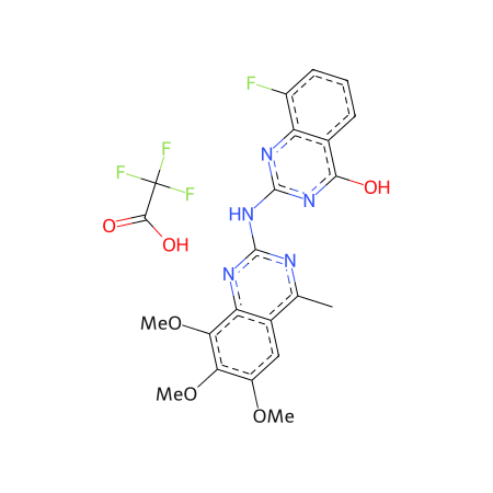 COc1cc2c(C)nc(Nc3nc(O)c4cccc(F)c4n3)nc2c(OC)c1OC.O=C(O)C(F)(F)F